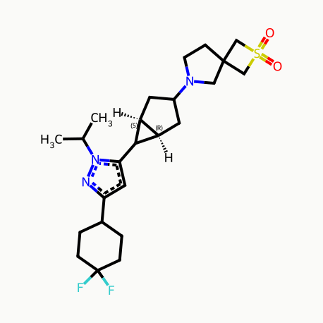 CC(C)n1nc(C2CCC(F)(F)CC2)cc1C1[C@H]2CC(N3CCC4(C3)CS(=O)(=O)C4)C[C@@H]12